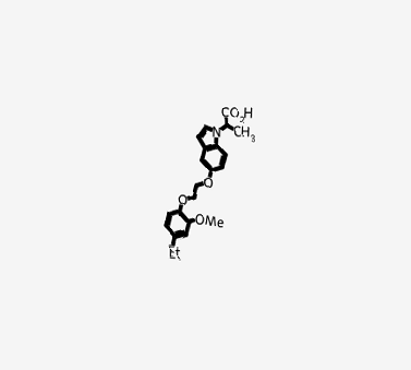 CCc1ccc(OCCOc2ccc3c(ccn3C(C)C(=O)O)c2)c(OC)c1